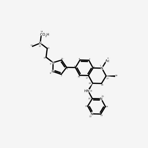 CC(=O)N1c2ccc(-c3cnn(CCN(C)C(=O)O)c3)cc2[C@H](Nc2cnccn2)C[C@@H]1C